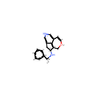 C[C@@H](N[C@H]1CC2=CNC=C3C=COCC1=C32)c1ccccc1